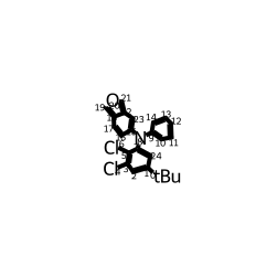 CC(C)(C)c1cc(Cl)c(Cl)c(N(c2ccccc2)c2ccc3cocc3c2)c1